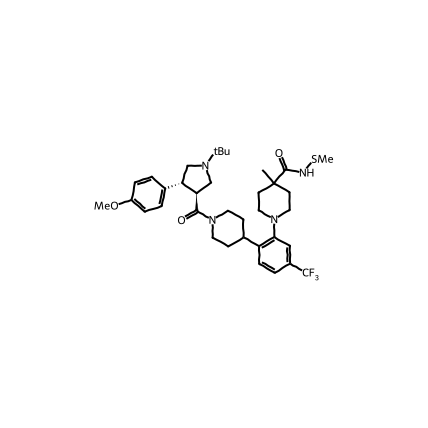 COc1ccc([C@@H]2CN(C(C)(C)C)C[C@H]2C(=O)N2CCC(c3ccc(C(F)(F)F)cc3N3CCC(C)(C(=O)NSC)CC3)CC2)cc1